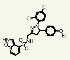 CCOc1ccc(C2CC(CNS(=O)(=O)C3=CC=CN4ONC=C34)=NN2c2ccc(Cl)cc2Cl)cc1